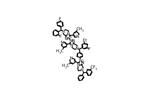 CCc1cc(F)cc(C(c2ccc(-[n+]3nc4n(c3-c3cncc(C)c3)CCN(C(c3ccccc3)c3cccc(C(F)(F)F)c3)C4)cc2)N2CCn3c(n[n+](-[n+]4nc5n(c4-c4cncc(C)c4)CCN(C(c4ccc(F)cc4)c4ccccc4F)C5)c3-c3cncc(C)c3)C2)c1